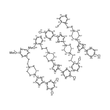 COc1cccc(CCN2CCN(c3nc(-c4cc(Cl)cc(Cl)c4)ns3)CC2)c1.COc1ccccc1CCN1CCN(c2nc(-c3ccc(Cl)cc3)ns2)CC1.Clc1ccc(-c2nsc(N3CCN(CCc4ccccc4Cl)CC3)n2)cc1.Fc1ccccc1CCN1CCN(c2nc(-c3ccc(Cl)cc3)ns2)CC1